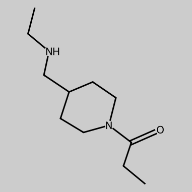 CCNCC1CCN(C(=O)CC)CC1